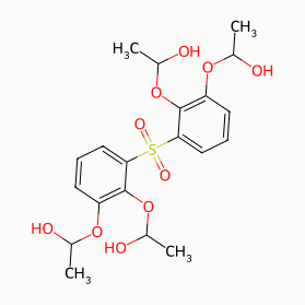 CC(O)Oc1cccc(S(=O)(=O)c2cccc(OC(C)O)c2OC(C)O)c1OC(C)O